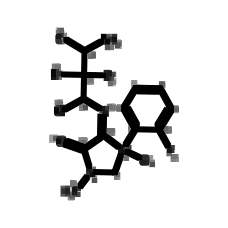 CN1C[N+]([O-])(c2ccccc2F)C(=NC(Cl)C(Br)(Br)C(N)Cl)C1=O